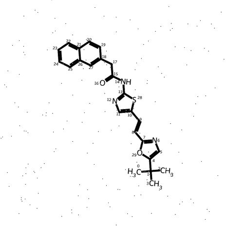 CC(C)(C)c1cnc(C=Cc2cnc(NC(=O)Cc3ccc4ccccc4c3)s2)o1